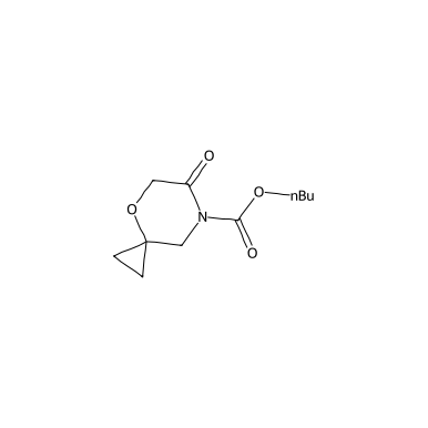 CCCCOC(=O)N1CC2(CC2)OCC1=O